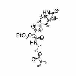 C=C(C)C(=O)OCCNC(=O)C(C(=O)OCC)C(=O)Oc1ccc2[nH]c(=O)[nH]c2c1